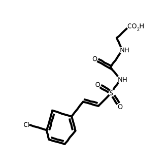 O=C(O)CNC(=O)NS(=O)(=O)C=Cc1cccc(Cl)c1